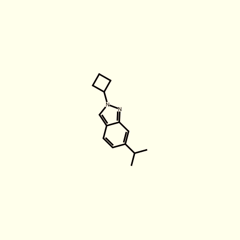 CC(C)c1ccc2cn(C3CCC3)nc2c1